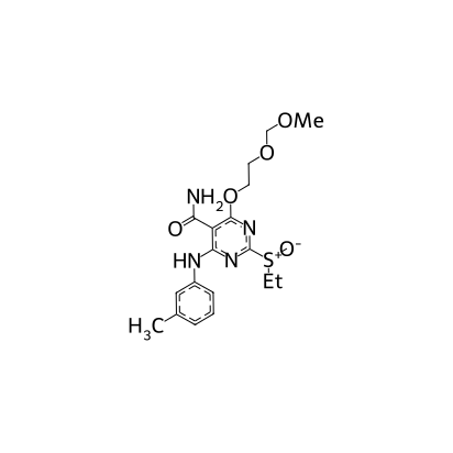 CC[S+]([O-])c1nc(Nc2cccc(C)c2)c(C(N)=O)c(OCCOCOC)n1